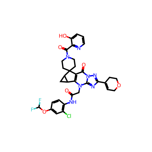 O=C(Cn1c2c(c(=O)n3nc(C4=CCOCC4)nc13)C1(CCN(C(=O)c3ncccc3O)CC1)C1CC21)Nc1ccc(OC(F)F)cc1Cl